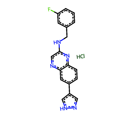 Cl.Fc1cccc(CNc2cnc3cc(-c4cn[nH]c4)ccc3n2)c1